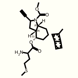 C#CC1C[C@H]2[C@@H](OC(=O)C(N)CCSC)CCC[C@H]2N1C(=O)OC.Cc1cc2ccc1-2